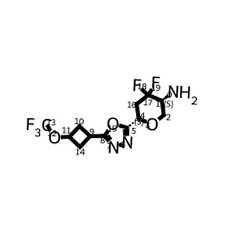 N[C@H]1CO[C@H](c2nnc(C3CC(OC(F)(F)F)C3)o2)CC1(F)F